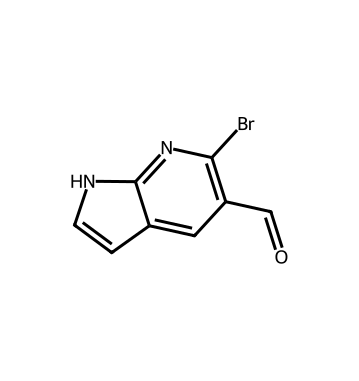 O=Cc1cc2cc[nH]c2nc1Br